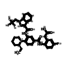 CC[C@H]1CCCCN1c1ccc(C(=O)Nc2ccc(F)cc2CC(=O)O)cc1NC(=O)c1nn(CC(F)(F)F)c2ccccc12